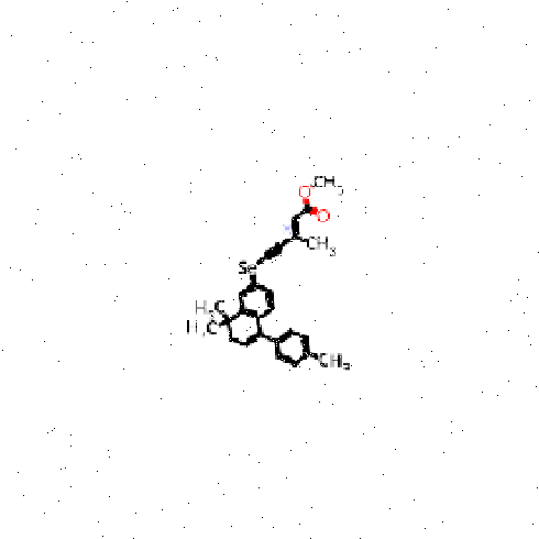 COC(=O)/C=C(\C)C#C[Se]c1ccc2c(c1)C(C)(C)CC=C2c1ccc(C)cc1